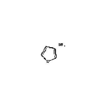 B.c1ccsc1